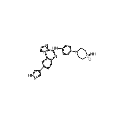 N=S1(=O)CCN(c2ccc(Nc3nc4ccc(-c5cn[nH]c5)cc4n4ccnc34)cc2)CC1